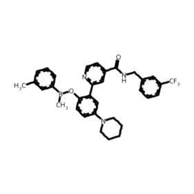 CB(Oc1ccc(N2CCCCC2)cc1-c1cc(C(=O)NCc2cccc(C(F)(F)F)c2)ccn1)c1cccc(C)c1